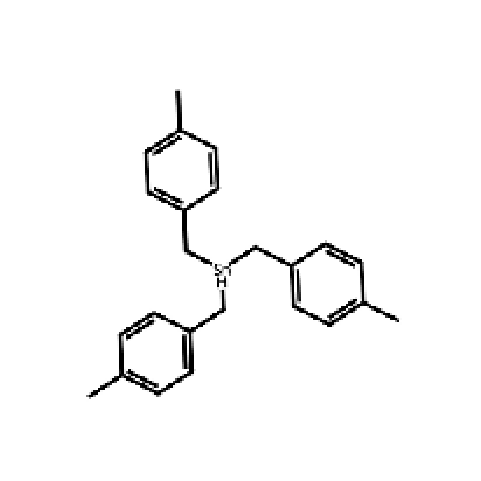 Cc1ccc([CH2][SnH]([CH2]c2ccc(C)cc2)[CH2]c2ccc(C)cc2)cc1